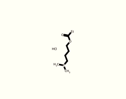 CCC(=O)OCCCCP(C)C.Cl